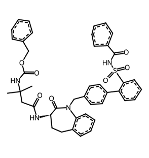 CC(C)(CC(=O)N[C@@H]1CCc2ccccc2N(Cc2ccc(-c3ccccc3S(=O)(=O)NC(=O)c3ccccc3)cc2)C1=O)NC(=O)OCc1ccccc1